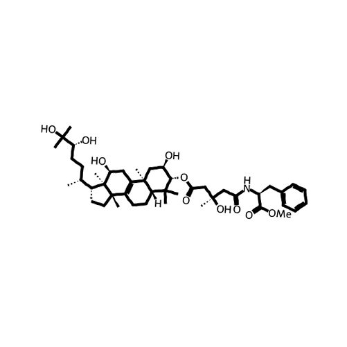 COC(=O)[C@H](Cc1ccccc1)NC(=O)C[C@@](C)(O)CC(=O)O[C@H]1[C@H](O)C[C@]2(C)C3=C(CC[C@H]2C1(C)C)[C@]1(C)CC[C@H]([C@H](C)CC[C@@H](O)C(C)(C)O)[C@@]1(C)[C@@H](O)C3